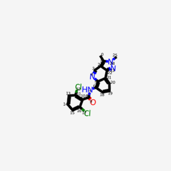 Cc1c2cnc3c(NC(=O)c4c(Cl)cccc4Cl)cccc3c2nn1C